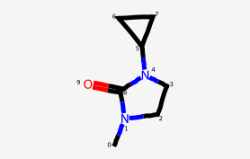 CN1CCN(C2CC2)C1=O